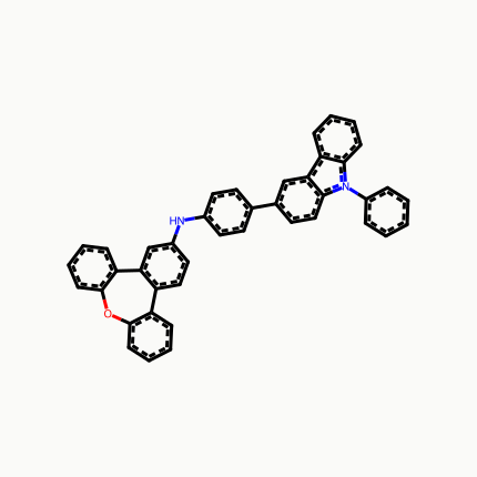 c1ccc(-n2c3ccccc3c3cc(-c4ccc(Nc5ccc6c(c5)-c5ccccc5Oc5ccccc5-6)cc4)ccc32)cc1